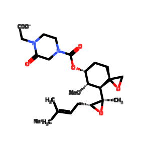 CO[C@@H]1[C@H](OC(=O)N2CCN(CC(=O)[O-])C(=O)C2)CC[C@]2(CO2)[C@H]1[C@@]1(C)O[C@@H]1CC=C(C)C.[Na+]